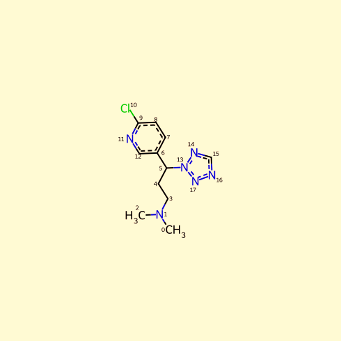 CN(C)CCC(c1ccc(Cl)nc1)n1ncnn1